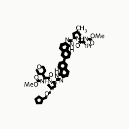 COC(=O)N[C@H](C(=O)N1C[C@@H](C)C[C@H]1c1nc2ccc3cc(-c4ccc5c(ccc6nc([C@@H]7C[C@H](COCC8CCCC8)CN7C(=O)[C@@H](NC(=O)OC)C7CCOCC7)[nH]c65)c4)ccc3c2[nH]1)C(C)C